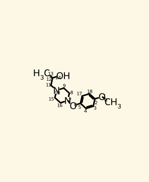 COc1ccc(ON2CCN(CC(C)O)CC2)cc1